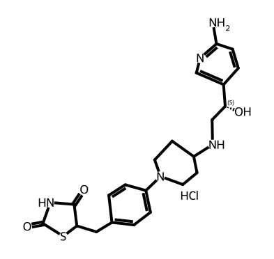 Cl.Nc1ccc([C@H](O)CNC2CCN(c3ccc(CC4SC(=O)NC4=O)cc3)CC2)cn1